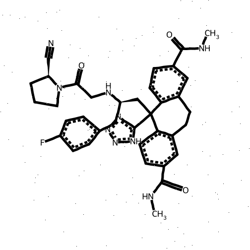 CNC(=O)c1ccc2c(c1)CCc1cc(C(=O)NC)ccc1C2(C[C@@H](Cc1ccc(F)cc1)NCC(=O)N1CCC[C@H]1C#N)c1nnn[nH]1